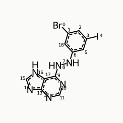 Brc1cc(I)cc(NNc2ncnc3nc[nH]c23)c1